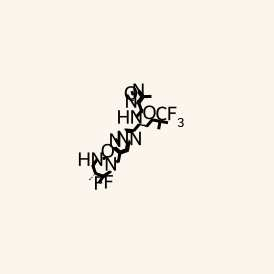 Cc1nonc1C(=O)N[C@@H](CCC(C)(C)C(F)(F)F)c1cn2ncc(CN3CC(F)(F)[C@H](C)CNC3=O)cc2n1